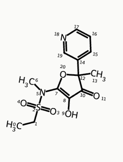 CCS(=O)(=O)N(C)C1=C(O)C(=O)C(C)(c2cccnc2)O1